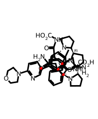 CC1(CC(N)=O)c2ccc(cc2)[C@]1(C(=O)NC(=O)O)N1CCCC1[C@H]1CC[C@H](C2CCCN2[C@@]2(C(=O)NC(=O)O)c3ccc(cc3)C2(C)CC(N)=O)N1c1ccc(-c2ccc(N3CCOCC3)nc2)cc1